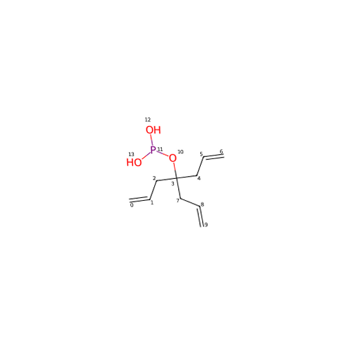 C=CCC(CC=C)(CC=C)OP(O)O